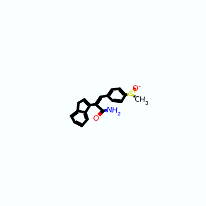 C[S+]([O-])c1ccc(C=C(C(N)=O)C2=CCc3ccccc32)cc1